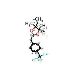 CCC1(C)OB(Cc2ccc(C(F)(F)F)cc2)OC1(C)C